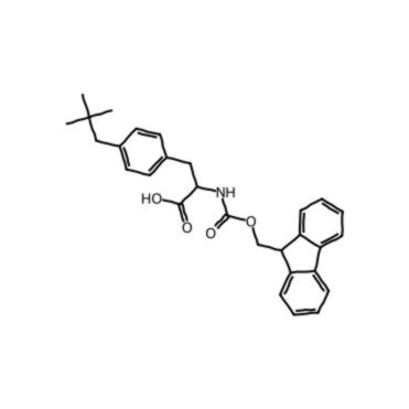 CC(C)(C)Cc1ccc(CC(NC(=O)OCC2c3ccccc3-c3ccccc32)C(=O)O)cc1